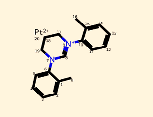 Cc1ccccc1N1C=[N+](c2ccccc2C)CCC1.[Pt+2]